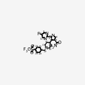 NC(=O)c1cnn(-c2ncc(F)cn2)c1C1CCN(Cc2ccc(S(=O)(=O)C(F)(F)F)cc2)CC1